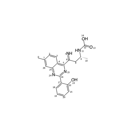 Cc1ccc2c(C(=N)C[C@@H](C)NC(=O)O)nc(-c3ccccc3O)nc2c1